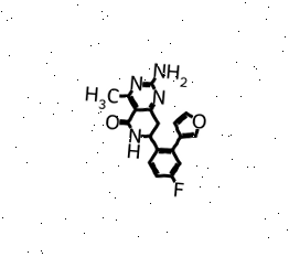 Cc1nc(N)nc2c1C(=O)NC(c1ccc(F)cc1-c1ccoc1)C2